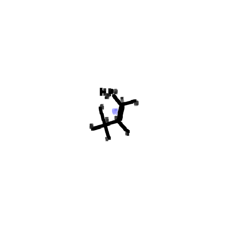 C/C(P)=C(\C)C(C)(C)C